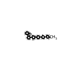 Cc1ccc(-c2ccc(-c3ccc(-c4ccc(-c5cccc6c5oc5ccccc56)cc4)cc3)cc2)cc1